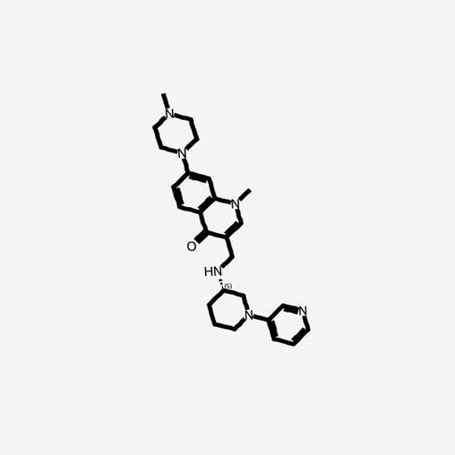 CN1CCN(c2ccc3c(=O)c(CN[C@H]4CCCN(c5cccnc5)C4)cn(C)c3c2)CC1